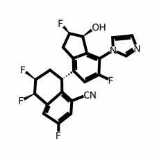 N#Cc1cc(F)cc2c1[C@@H](c1cc(F)c(-n3ccnc3)c3c1C[C@@H](F)[C@H]3O)C[C@H](F)[C@@H]2F